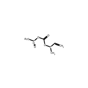 C=CP(C)OC(=O)O[PH](=O)OC(C)=O